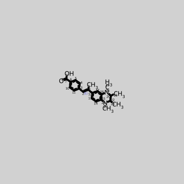 C/C(=C\c1ccc(C(=O)O)cc1)c1ccc2c(c1)N(C)C(C)C(C)N2C